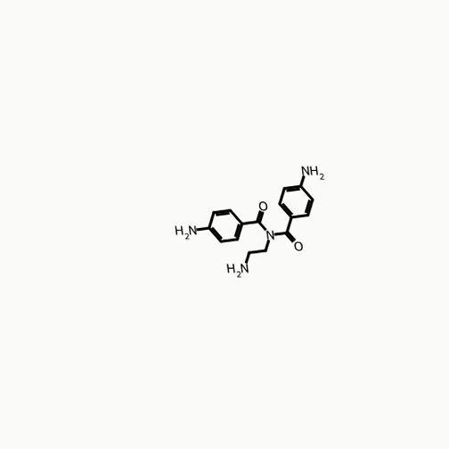 NCCN(C(=O)c1ccc(N)cc1)C(=O)c1ccc(N)cc1